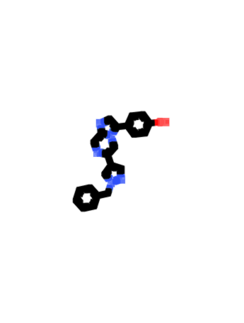 Oc1ccc(-c2cnc3cnc(-c4cnn(Cc5ccccc5)c4)cn23)cc1